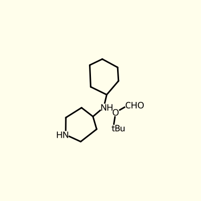 C1CCC(NC2CCNCC2)CC1.CC(C)(C)OC=O